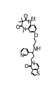 CCN1C(=O)C(C)(C)C(=O)N(C)c2cc(OCCCNC(CCn3ccc4sccc4c3=O)c3cccnc3)ccc21